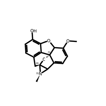 COC1=CC=C2C3[N@@](C)[C@@]34Cc3ccc(O)c5c3[C@@]2(C4)C1O5